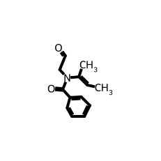 CC=C(C)N(CC=O)C(=O)c1ccccc1